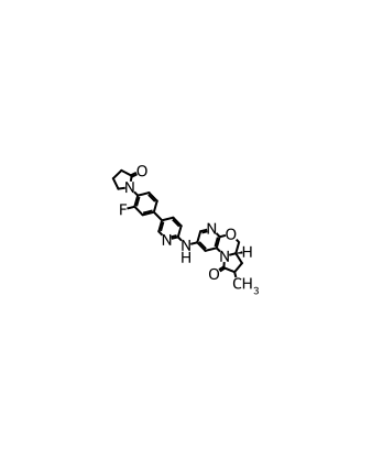 CC1C[C@H]2COc3ncc(Nc4ccc(-c5ccc(N6CCCC6=O)c(F)c5)cn4)cc3N2C1=O